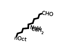 CCCCCCCCCCCCCCCCCC=O.[CaH2].[NaH]